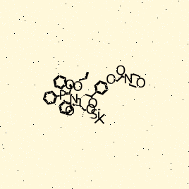 C=CCOC(=O)C(N1C(=O)[C@H]([C@@H](C)O[Si](C)(C)C(C)(C)C)[C@H]1CC(=O)c1ccc(OCC(=O)N2CCOCC2)cc1)=P(c1ccccc1)(c1ccccc1)c1ccccc1